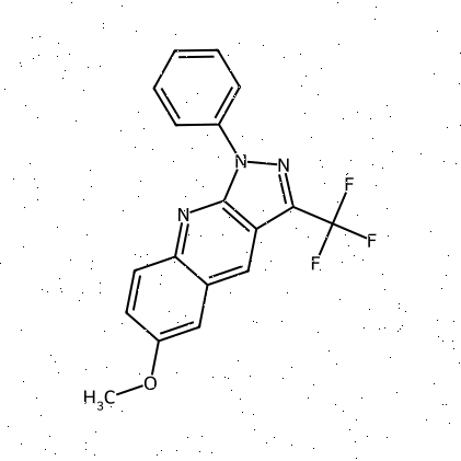 COc1ccc2nc3c(cc2c1)c(C(F)(F)F)nn3-c1ccccc1